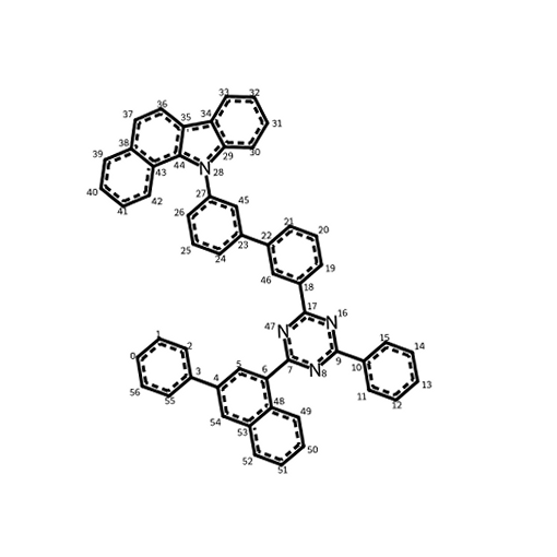 c1ccc(-c2cc(-c3nc(-c4ccccc4)nc(-c4cccc(-c5cccc(-n6c7ccccc7c7ccc8ccccc8c76)c5)c4)n3)c3ccccc3c2)cc1